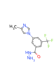 Cc1cn(-c2cc(C(=O)NN)cc(C(F)(F)F)c2)cn1